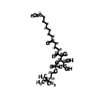 CCCCCCCCCCCCCCCCCC(=O)CCCC(=O)C(=O)C(OP(=O)([O-])OCC[N+](C)(C)C)[C@@H](O)CO